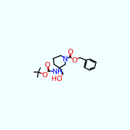 CC(C)(C)OC(=O)NC1(CO)CCCN(C(=O)OCc2ccccc2)C1